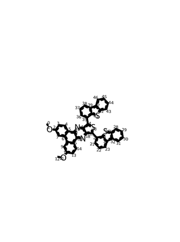 COc1ccc2c(c1)c1cc(OC)ccc1c1nc3c(-c4cccc5c4sc4ccccc45)sc(-c4cccc5c4sc4ccccc45)c3nc21